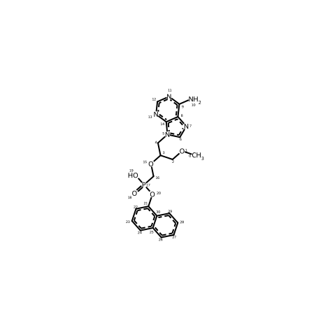 COCC(Cn1cnc2c(N)ncnc21)OCP(=O)(O)Oc1cccc2ccccc12